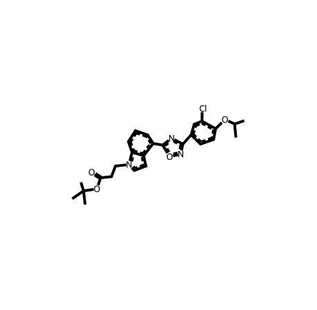 CC(C)Oc1ccc(-c2noc(-c3cccc4c3ccn4CCC(=O)OC(C)(C)C)n2)cc1Cl